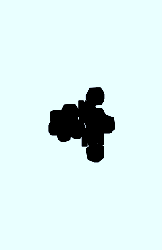 c1ccc(-c2nc(-c3ccccc3)nc(-c3ccc4c(c3)-c3c(-c5nc(-c6ccccc6)c6ccccc6n5)cccc3C43c4ccccc4Oc4ccccc43)n2)cc1